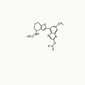 Cc1cc(-c2cc3c(o2)CCCC3NC(=O)O)c2ncc(OC(F)F)nc2c1